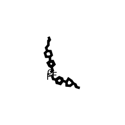 CC=CCCC1CCC(c2ccc(COC(F)(F)Cc3ccc(C4CCC(C=CC)CC4)cc3)cc2)CC1